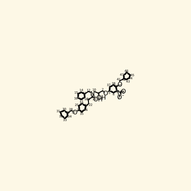 O=[N+]([O-])c1cc(OCC(O)CN(Cc2ccccc2)[C@@H](O)CCc2ccc(OCc3ccccc3)cc2)ccc1OCc1ccccc1